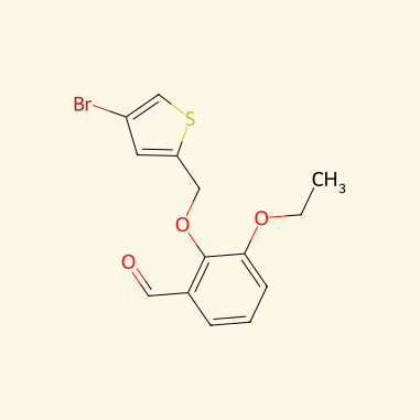 CCOc1cccc(C=O)c1OCc1cc(Br)cs1